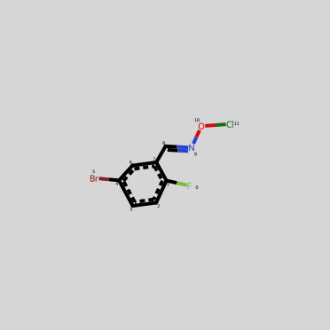 Fc1ccc(Br)cc1C=NOCl